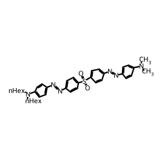 CCCCCCN(CCCCCC)c1ccc(N=Nc2ccc(S(=O)(=O)c3ccc(N=Nc4ccc(N(C)C)cc4)cc3)cc2)cc1